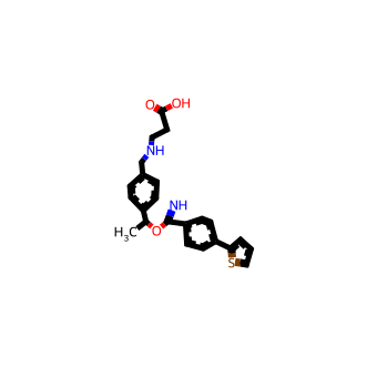 CC(OC(=N)c1ccc(-c2cccs2)cc1)c1ccc(CNCCC(=O)O)cc1